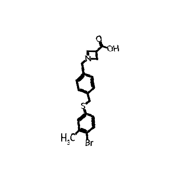 Cc1cc(SCc2ccc(CN3CC(C(=O)O)C3)cc2)ccc1Br